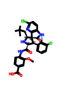 COc1cc(C(=O)O)ccc1NC(=O)[C@@H]1N[C@@H](CC(C)(C)C)[C@@]2(C(=O)Nc3ccc(Cl)nc32)[C@H]1c1cccc(Cl)c1F